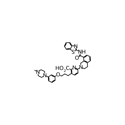 CN1CCN(c2cccc(OCCCc3ccc(N4CCc5cccc(C(=O)Nc6nc7ccccc7s6)c5C4)nc3C(=O)O)c2)CC1